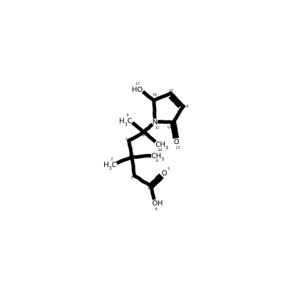 CC(C)(CC(=O)O)CC(C)(C)N1C(=O)C=CC1O